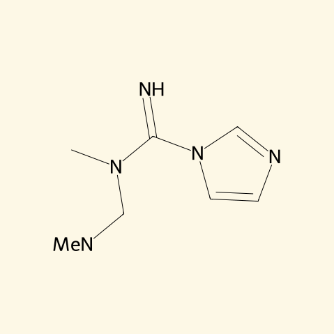 CNCN(C)C(=N)n1ccnc1